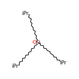 CC(C)CCCCCCCCCCCCC[Si]([O])(CCCCCCCCCCCCCC(C)C)CCCCCCCCCCCCCC(C)C